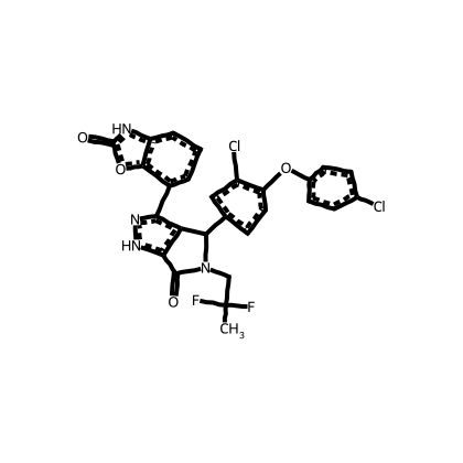 CC(F)(F)CN1C(=O)c2[nH]nc(-c3cccc4[nH]c(=O)oc34)c2C1c1ccc(Oc2ccc(Cl)cc2)c(Cl)c1